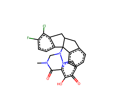 CN1CN(C23c4ccccc4CC2Cc2c3ccc(F)c2Cl)n2ccc(=O)c(O)c2C1=O